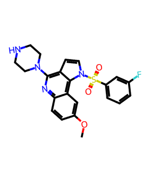 COc1ccc2nc(N3CCNCC3)c3ccn(S(=O)(=O)c4cccc(F)c4)c3c2c1